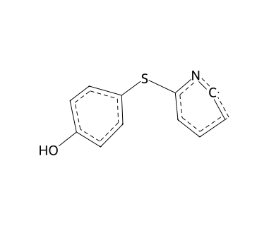 Oc1ccc(Sc2ccc[c]n2)cc1